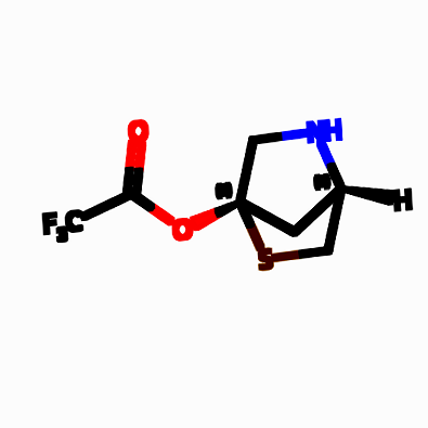 O=C(O[C@]12CN[C@H](CS1)C2)C(F)(F)F